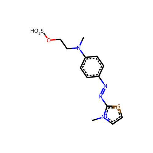 CN(CCOS(=O)(=O)O)c1ccc(/N=N/c2scc[n+]2C)cc1